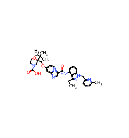 CCc1nn(Cc2cccc(C)n2)c2cccc(NC(=O)c3cnc4cc(OCC5(C(C)(C)C)CN(C(=O)O)CCO5)ccn34)c12